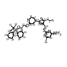 CCCc1sc(-c2ccnc(OCCO[Si](c3ccccc3)(c3ccccc3)C(C)(C)C)c2)nc1CSc1nc(C)cc(N)n1